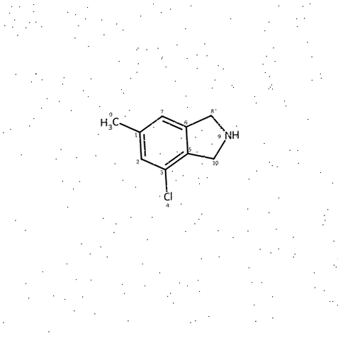 Cc1cc(Cl)c2c(c1)CNC2